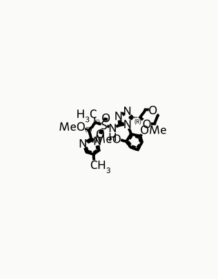 COc1cccc(OC)c1-n1c(NS(=O)(=O)[C@@H](C)[C@H](OC)c2ncc(C)cn2)nnc1[C@@H]1COCCO1